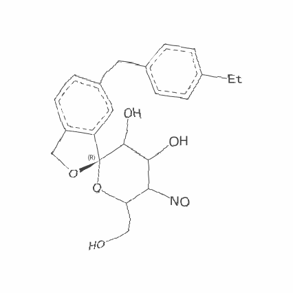 CCc1ccc(Cc2ccc3c(c2)[C@@]2(OC3)OC(CO)C(N=O)C(O)C2O)cc1